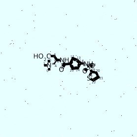 C[N+](C)(C)C[C@@H](CC(=O)O)NC(=O)c1ccc(NS(=O)(=O)C2CC=CS2)cc1